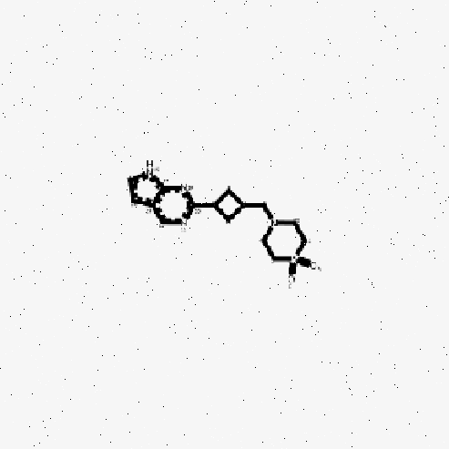 O=S1(=O)CCN(CC2CC(c3ncc4cc[nH]c4n3)C2)CC1